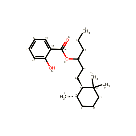 CCCC(CC[C@@H]1[C@@H](C)CCCC1(C)C)OC(=O)c1ccccc1O